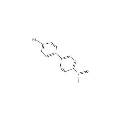 CC(=O)c1ccc(-c2ccc(S)cc2)cc1